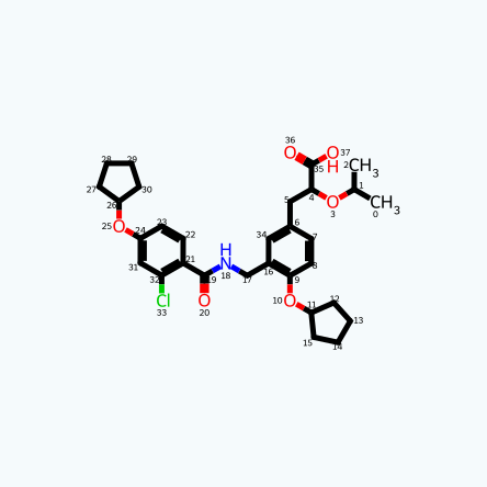 CC(C)OC(Cc1ccc(OC2CCCC2)c(CNC(=O)c2ccc(OC3CCCC3)cc2Cl)c1)C(=O)O